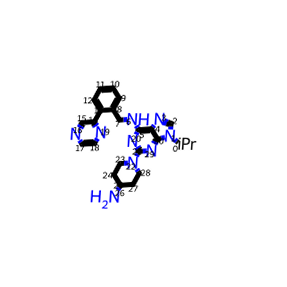 CC(C)n1cnc2c(NCc3ccccc3-c3cnccn3)nc(N3CCC(N)CC3)nc21